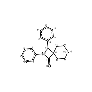 O=C1N(c2cccnc2)C(c2ccccc2)C12CCNCC2